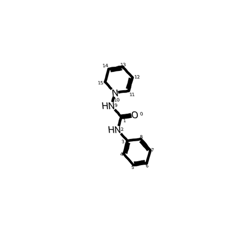 O=C(Nc1ccccc1)NN1C=C[C]=CC1